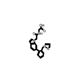 O=C(O)CNC(=O)Cn1ccc2ccc(-c3ccccc3Cn3cccn3)cc21